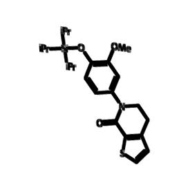 COc1cc(N2CCc3ccsc3C2=O)ccc1O[Si](C(C)C)(C(C)C)C(C)C